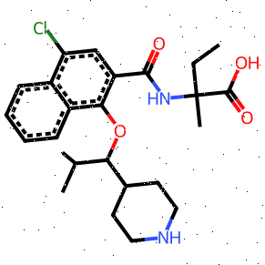 CCC(C)(NC(=O)c1cc(Cl)c2ccccc2c1OC(C(C)C)C1CCNCC1)C(=O)O